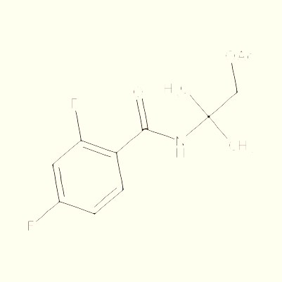 CC(=O)OCC(C)(C)NC(=O)c1ccc(F)cc1F